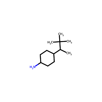 CC(C1CCC(N)CC1)C(C)(C)C